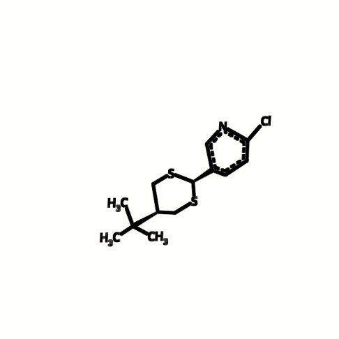 CC(C)(C)[C@H]1CS[C@@H](c2ccc(Cl)nc2)SC1